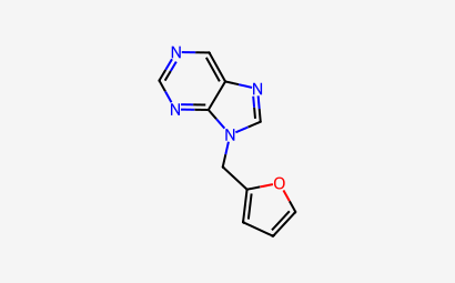 c1coc(Cn2cnc3cncnc32)c1